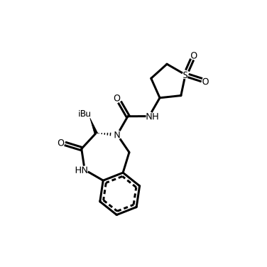 CC[C@H](C)[C@H]1C(=O)Nc2ccccc2CN1C(=O)NC1CCS(=O)(=O)C1